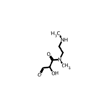 CNCCN(C)C(=O)C(O)C=O